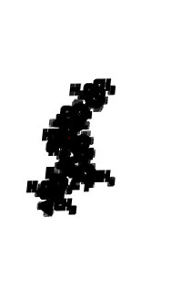 CN=S(=O)(c1ccc(-n2ccn(-c3c4c(nn3-c3cc(C)c(F)c(C)c3)CCN(C(=O)c3cc5cc([C@H]6CCOC(C)(C)C6)ccc5n3[C@@]3(c5noc(=O)[nH]5)C[C@@H]3C)[C@H]4C)c2=O)c(F)c1C)C1CC1